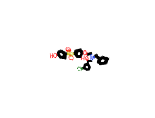 O=S(=O)(c1ccc(O)cc1)c1ccc(OCCN(Cc2ccccc2)C[C@H](O)c2cccc(Cl)c2)cc1